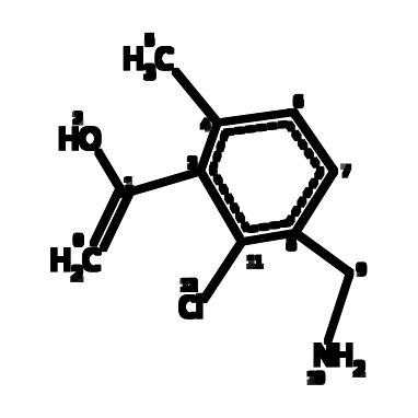 C=C(O)c1c(C)ccc(CN)c1Cl